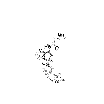 NCCC(=O)Nc1cnc(NCc2c(F)ccc3c2CCO3)n2cnnc12